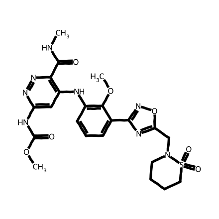 CNC(=O)c1nnc(NC(=O)OC)cc1Nc1cccc(-c2noc(CN3CCCCS3(=O)=O)n2)c1OC